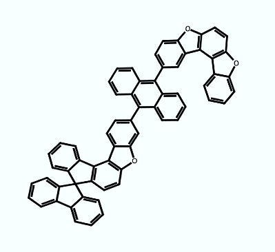 c1ccc2c(c1)-c1ccccc1C21c2ccccc2-c2c1ccc1oc3cc(-c4c5ccccc5c(-c5ccc6oc7ccc8oc9ccccc9c8c7c6c5)c5ccccc45)ccc3c21